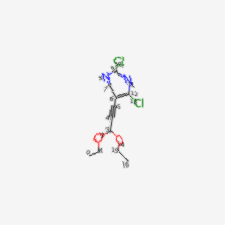 CCOC(C#Cc1cnc(Cl)nc1Cl)OCC